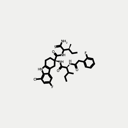 CCC(C)[C@H](NC(=O)Cc1ccccc1F)C(=O)N[C@]1(C(=O)NC(C(N)=S)[C@@H](C)CC)CCc2[nH]c3c(Cl)cc(F)cc3c2C1